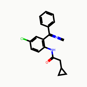 C=[N+]=C(c1ccccc1)c1cc(Cl)ccc1NC(=O)CC1CC1